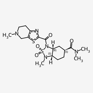 CN1CCc2nc(C(=O)N3[C@@H]4C[C@@H](C(=O)N(C)C)CC[C@@H]4N(C)S3(=O)=O)sc2C1